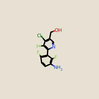 Nc1ccc(F)c(-c2ncc(CO)c(Cl)c2F)c1F